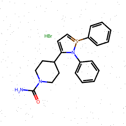 Br.NC(=O)N1CCC(C2=CC=S(c3ccccc3)N2c2ccccc2)CC1